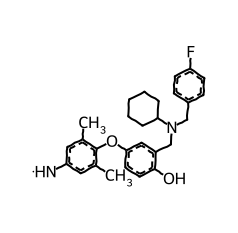 Cc1cc([NH])cc(C)c1Oc1ccc(O)c(CN(Cc2ccc(F)cc2)C2CCCCC2)c1